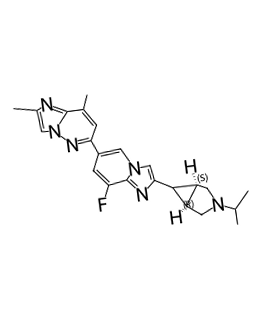 Cc1cn2nc(-c3cc(F)c4nc(C5[C@H]6CN(C(C)C)C[C@@H]56)cn4c3)cc(C)c2n1